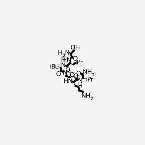 CC[C@H](C)[C@H](NC(=O)[C@H](CC(C)C)NC(=O)[C@@H](N)CO)C(=O)NCC(=O)N[C@@H](CCCCN)C(=O)N[C@H](C(N)=O)C(C)C